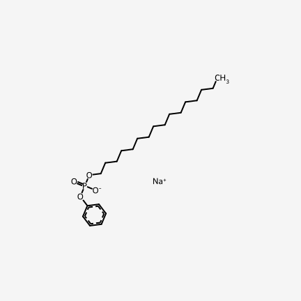 CCCCCCCCCCCCCCCCOP(=O)([O-])Oc1ccccc1.[Na+]